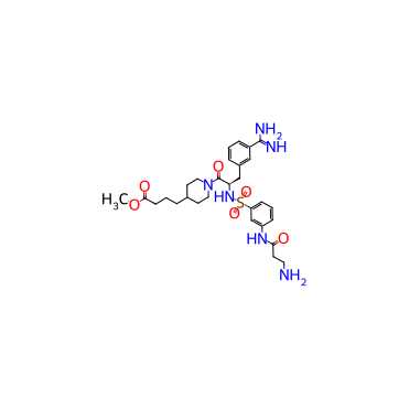 COC(=O)CCCC1CCN(C(=O)[C@@H](Cc2cccc(C(=N)N)c2)NS(=O)(=O)c2cccc(NC(=O)CCN)c2)CC1